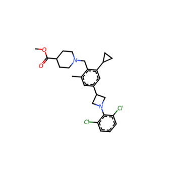 COC(=O)C1CCN(Cc2c(C)cc(C3CN(c4c(Cl)cccc4Cl)C3)cc2C2CC2)CC1